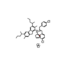 CCCC(C)c1cc2c(cc1C)Cc1c-2cc(C(C)CCC)c(C)[c]1[Zr+2]([C]1=CC=CC1)=[C](Cc1ccc(Cl)cc1)Cc1ccc(Cl)cc1.[Cl-].[Cl-]